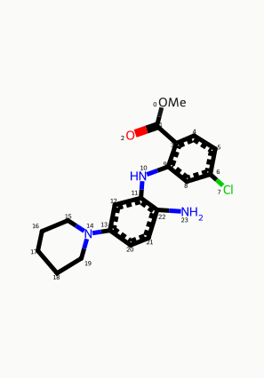 COC(=O)c1ccc(Cl)cc1Nc1cc(N2CCCCC2)ccc1N